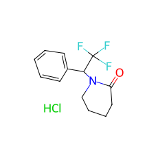 Cl.O=C1CCCCN1C(c1ccccc1)C(F)(F)F